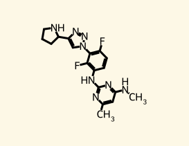 CNc1cc(C)nc(Nc2ccc(F)c(-n3cc(C4CCCN4)nn3)c2F)n1